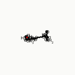 CC(C(=O)c1cccc(Cl)c1)N(C(=O)OCOC(=O)CC(=O)OCCCCCCOC(=O)c1cc(S(N)(=O)=O)c(Cl)cc1NCc1ccco1)C(C)(C)C